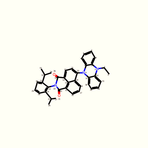 CCN1c2ccccc2N(c2ccc3c4c(cccc24)C(=O)N(c2c(C(C)C)cccc2C(C)C)C3=O)c2ccccc21